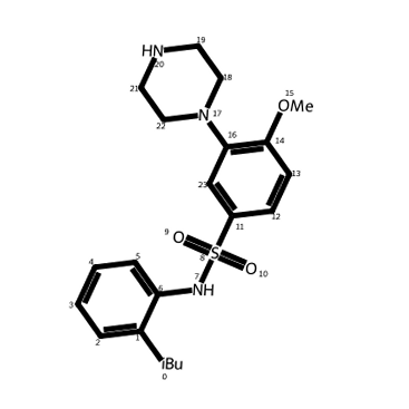 CCC(C)c1ccccc1NS(=O)(=O)c1ccc(OC)c(N2CCNCC2)c1